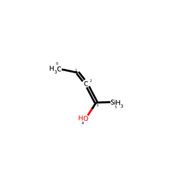 CC=C=C(O)[SiH3]